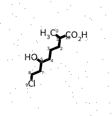 CC(CCCC(O)CCCl)C(=O)O